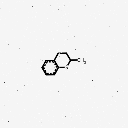 CC1CCc2ccccc2S1